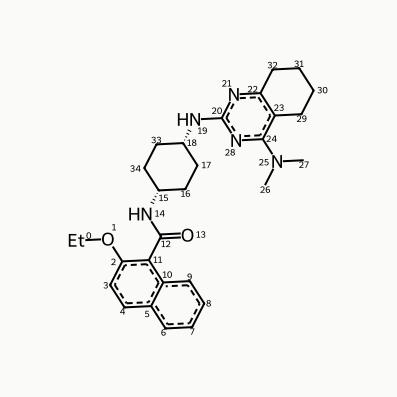 CCOc1ccc2ccccc2c1C(=O)N[C@H]1CC[C@@H](Nc2nc3c(c(N(C)C)n2)CCCC3)CC1